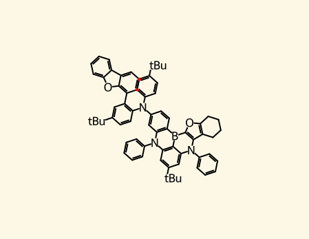 CC(C)(C)c1ccc(N(c2ccc3c(c2)N(c2ccccc2)c2cc(C(C)(C)C)cc4c2B3c2oc3c(c2N4c2ccccc2)CCCC3)c2ccc(C(C)(C)C)cc2-c2cccc3c2oc2ccccc23)cc1